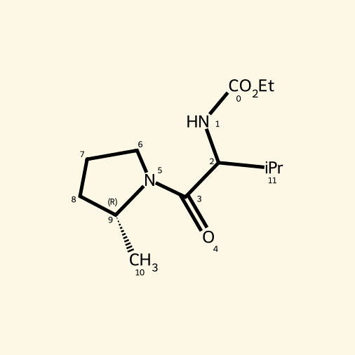 CCOC(=O)NC(C(=O)N1CCC[C@H]1C)C(C)C